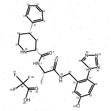 C[C@H](NC(=O)[C@H]1C[C@@H](c2ccccc2)CCN1)C(=O)NCc1cc(Cl)ccc1-n1cnnn1.O=C(O)C(F)(F)F